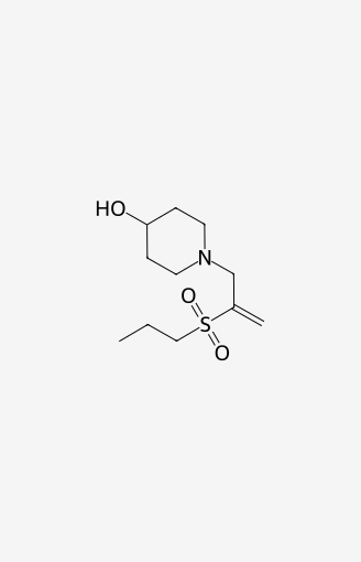 C=C(CN1CCC(O)CC1)S(=O)(=O)CCC